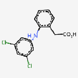 Clc1cccc(Cl)c1.Nc1ccccc1CC(=O)O